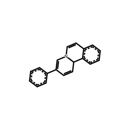 C1=CC2c3ccccc3C=CN2C=C1c1ccccc1